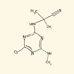 CNc1nc(Cl)nc(NC(C)(C)C#N)n1